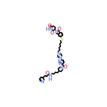 O=C(/C=C/c1cccnc1)NCCCCC1CCN(C(=O)c2ccc(N3CCN(CCCCCCCSc4ccc5c(c4)CN(C4CCC(=O)NC4=O)C5=O)CC3)nn2)CC1